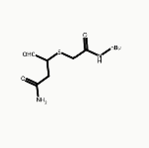 CCCCNC(=O)CSC(C=O)CC(N)=O